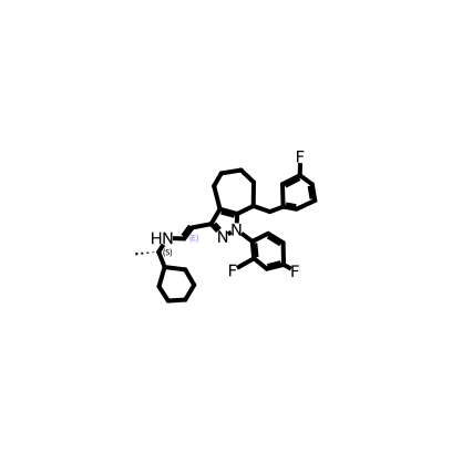 C[C@H](N/C=C/c1nn(-c2ccc(F)cc2F)c2c1CCCCC2Cc1cccc(F)c1)C1CCCCC1